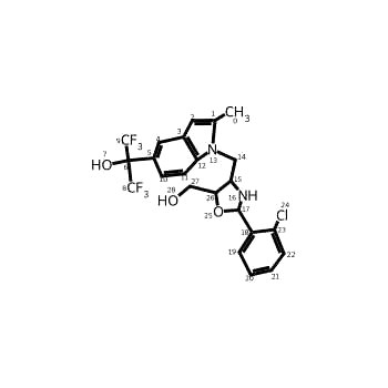 Cc1cc2cc(C(O)(C(F)(F)F)C(F)(F)F)ccc2n1CC1NC(c2ccccc2Cl)OC1CO